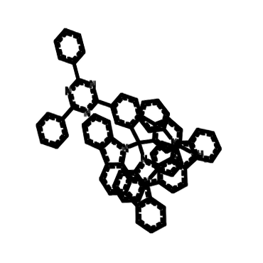 Cc1ccc2c(c1)C(n1c3ccccc3c3ccc4c5ccccc5n(-c5ccccc5)c4c31)(n1c3ccccc3c3ccc4c5ccccc5n(-c5ccccc5)c4c31)c1cc(-c3nc(-c4ccccc4)nc(-c4ccccc4)n3)ccc1-2